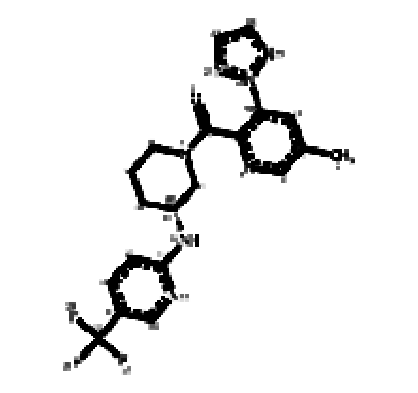 Cc1cnc(C(=O)N2CCC[C@@H](Nc3ccc(C(F)(F)F)cn3)C2)c(-n2nccn2)c1